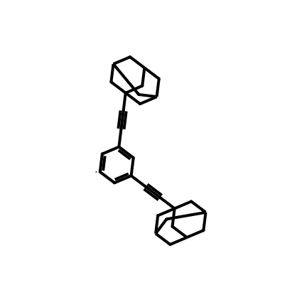 C(#CC12CC3CC(CC(C3)C1)C2)c1c[c]cc(C#CC23CC4CC(CC(C4)C2)C3)c1